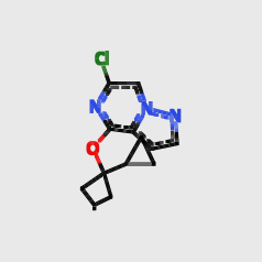 Clc1cn2nccc2c(OC2(C3CC3)C[CH]C2)n1